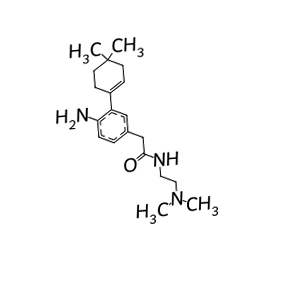 CN(C)CCNC(=O)Cc1ccc(N)c(C2=CCC(C)(C)CC2)c1